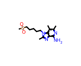 Cc1nc(N)c2nc(C)n(CCCCCS(C)(=O)=O)c2c1C